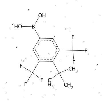 CC(C)(C)c1c(C(F)(F)F)cc(B(O)O)cc1C(F)(F)F